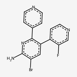 Nc1nc(-c2ccncc2)c(-c2ccncc2F)cc1Br